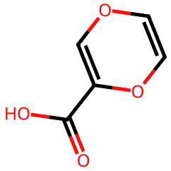 O=C(O)C1=COC=CO1